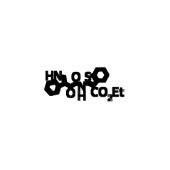 CCOC(=O)c1c(NC(=O)C(=O)c2c[nH]c3ccccc23)sc2c1CCCC2